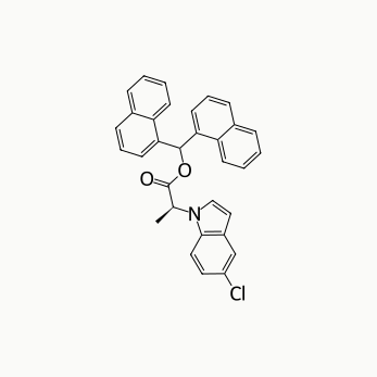 C[C@@H](C(=O)OC(c1cccc2ccccc12)c1cccc2ccccc12)n1ccc2cc(Cl)ccc21